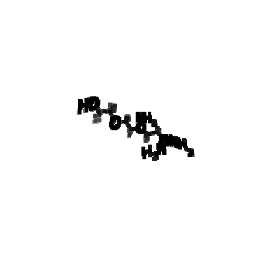 N.NN(N)CCOCCOCCO